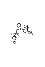 Cc1ccc(OCC2(c3ccccc3)CC2C(=O)Nc2ccc(Cl)cn2)c(C)n1